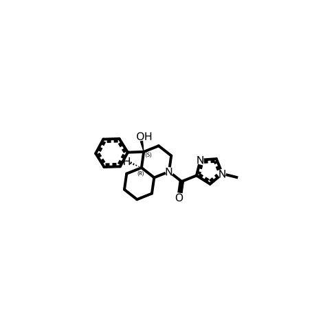 Cn1cnc(C(=O)N2CC[C@@](O)(c3ccccc3)[C@@H]3CCCCC32)c1